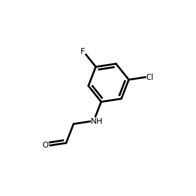 O=CCNc1cc(F)cc(Cl)c1